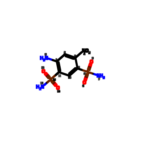 Nc1cc([N+](=O)[O-])c(S(N)(=O)=O)cc1S(N)(=O)=O